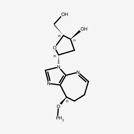 OC[C@H]1O[C@@H](n2cnc3c2N=CCC[C@H]3OP)C[C@@H]1O